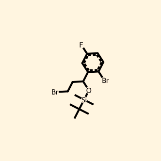 CC(C)(C)[Si](C)(C)OC(CCBr)c1cc(F)ccc1Br